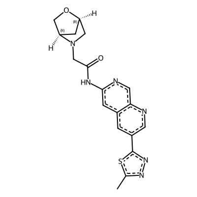 Cc1nnc(-c2cnc3cnc(NC(=O)CN4C[C@H]5C[C@@H]4CO5)cc3c2)s1